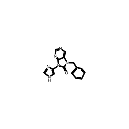 O=c1n(Cc2ccccc2)c2cncnc2n1-c1c[nH]cn1